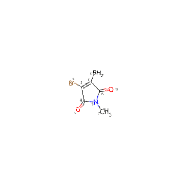 BC1=C(Br)C(=O)N(C)C1=O